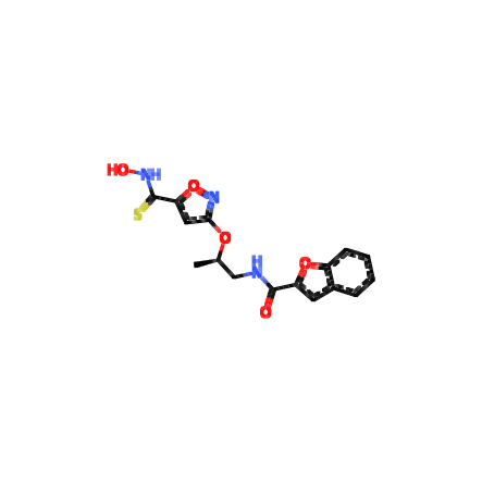 C[C@H](CNC(=O)c1cc2ccccc2o1)Oc1cc(C(=S)NO)on1